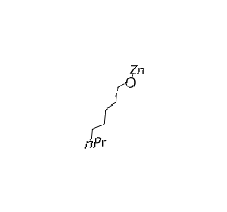 CCCCCCCC[O][Zn]